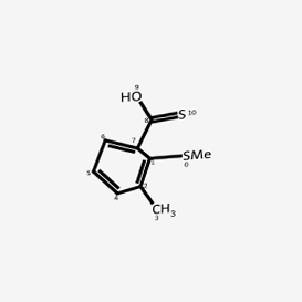 CSc1c(C)cccc1C(O)=S